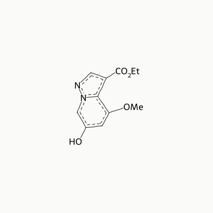 CCOC(=O)c1cnn2cc(O)cc(OC)c12